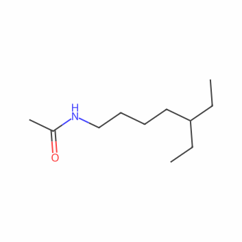 CCC(CC)CCCCNC(C)=O